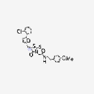 COc1ccc(CCNC(=O)CN2C(=O)/C(=C/c3ccc(-c4ccccc4Cl)o3)SC2=S)cc1